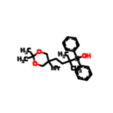 CCCC1(CCC(C)(C)[Si](O)(c2ccccc2)c2ccccc2)COC(C)(C)OC1